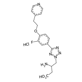 Cl.NC(CC(=O)O)Cn1nnc(-c2ccc(OCCc3ccncc3)c(F)c2)n1